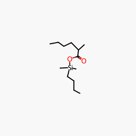 CCCCC(C)C(=O)O[Si](C)(C)CCCC